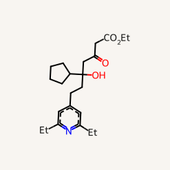 CCOC(=O)CC(=O)CC(O)(CCc1cc(CC)nc(CC)c1)C1CCCC1